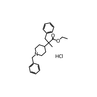 CCOC(=O)C(C)(Cc1ccccc1)C1CCN(Cc2ccccc2)CC1.Cl